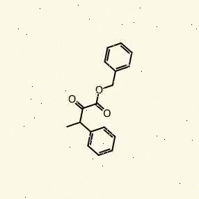 CC(C(=O)C(=O)OCc1ccccc1)c1ccccc1